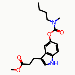 CCCCN(C)C(=O)Oc1ccc2[nH]cc(CCC(=O)OC)c2c1